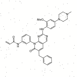 C=CC(=O)Nc1cccc(-n2c(=O)c(Cc3ccccc3)cc3cnc(Nc4ccc(N5CCN(C)CC5)cc4OC)nc32)c1